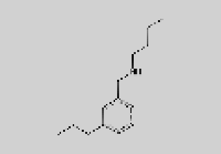 CCCCNCc1cccc(CCC)c1